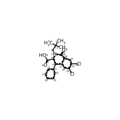 CC(C)(C)Cn1c(C(=O)O)c(-c2ccccc2)c2cc(Cl)c(Cl)cc2c1=O